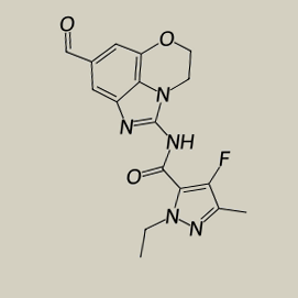 CCn1nc(C)c(F)c1C(=O)Nc1nc2cc(C=O)cc3c2n1CCO3